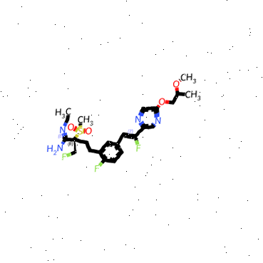 CC/N=C(/N)[C@@](CF)(CCc1cc(/C=C(\F)c2cnc(OCC(C)OC)cn2)ccc1F)S(C)(=O)=O